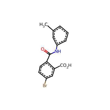 Cc1cccc(NC(=O)c2ccc(Br)cc2C(=O)O)c1